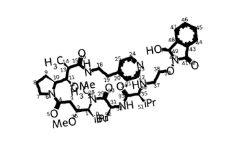 CC[C@H](C)[C@@H]([C@@H](CC(=O)N1CCC[C@H]1[C@H](OC)[C@@H](C)C(=O)NCCc1ccncc1)OC)N(C)C(=O)[C@@H](NC(=O)[C@@H](NCCON1C(=O)c2ccccc2C1O)C(C)C)C(C)C